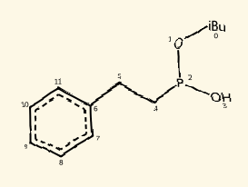 CCC(C)OP(O)CCc1ccccc1